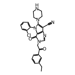 CCc1cccc(C(=O)Cn2cnc3c(C#N)c(N4CCNCC4)n(-c4ccccc4Cl)c3c2=O)c1